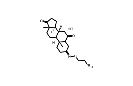 C[C@]12CC/C(=N/OCCN)CC1C(=O)C[C@@H]1[C@@H]2CC[C@]2(C)C(=O)CC[C@@H]12.Cl